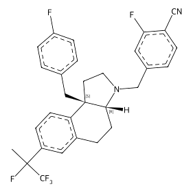 CC(F)(c1ccc2c(c1)CC[C@H]1N(Cc3ccc(C#N)c(F)c3)CC[C@@]21Cc1ccc(F)cc1)C(F)(F)F